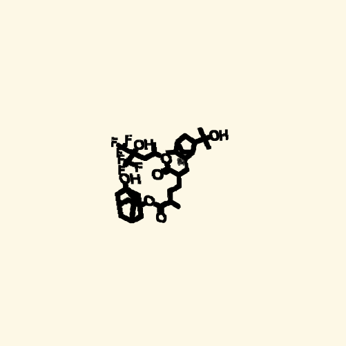 CC(CC(O)(C(F)(F)F)C(F)(F)F)OC(=O)C(CCC(C)C(=O)OC12CC3CC(CC(O)(C3)C1)C2)C[C@H]1C(C)C2CC1C(C(C)(C)O)C2